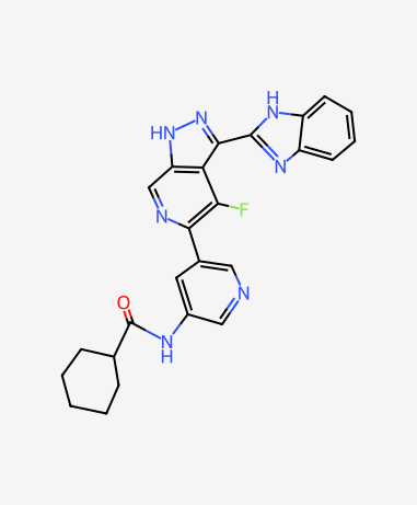 O=C(Nc1cncc(-c2ncc3[nH]nc(-c4nc5ccccc5[nH]4)c3c2F)c1)C1CCCCC1